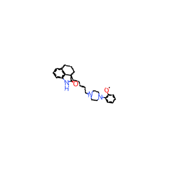 COc1ccccc1N1CCN(CCCCCC23CCCc4cccc(c42)NC3=O)CC1